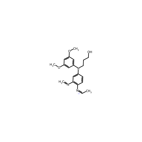 C=Nc1cc(N(CCCO)c2cc(OC)cc(OC)c2)ccc1/N=C\C